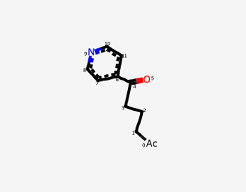 CC(=O)CCCC(=O)c1ccncc1